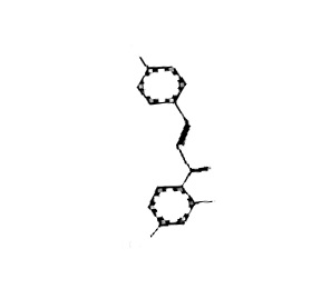 Cc1ccc(C(=O)/C=C/c2ccc(O)cc2)c(C)c1